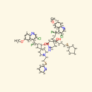 COc1ccc2ncc(Cl)c([C@H](F)CCC3(CO)CCN(CCSc4ccccn4)CC3)c2c1.COc1ccc2ncc(Cl)c([C@H](F)CCC3([C@@H](O)CCCSC4CCCCC4)CCNCC3)c2c1